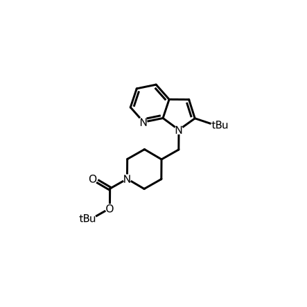 CC(C)(C)OC(=O)N1CCC(Cn2c(C(C)(C)C)cc3cccnc32)CC1